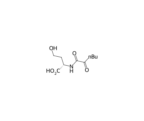 CCCCC(=O)C(=O)N[C@@H](CCO)C(=O)O